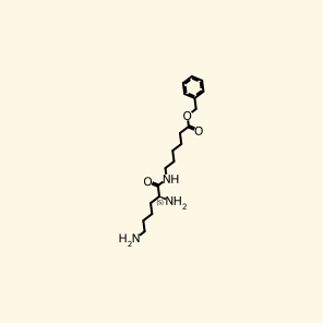 NCCCC[C@H](N)C(=O)NCCCCCC(=O)OCc1ccccc1